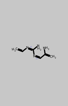 C=C/N=C(N)\N=C/C(=C)N